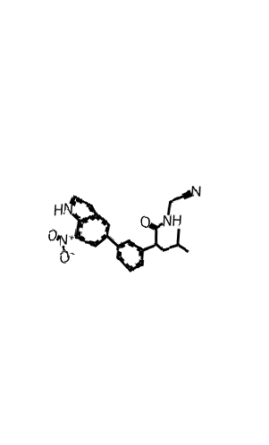 CC(C)CC(C(=O)NCC#N)c1cccc(-c2cc([N+](=O)[O-])c3[nH]ccc3c2)c1